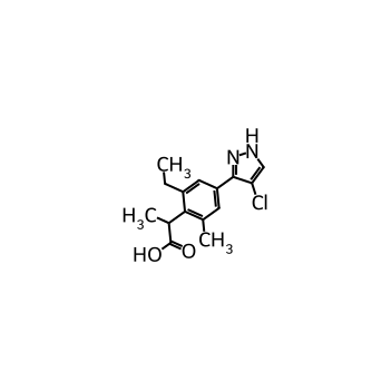 CCc1cc(-c2n[nH]cc2Cl)cc(C)c1C(C)C(=O)O